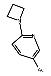 CC(=O)c1ccc(N2CCC2)nc1